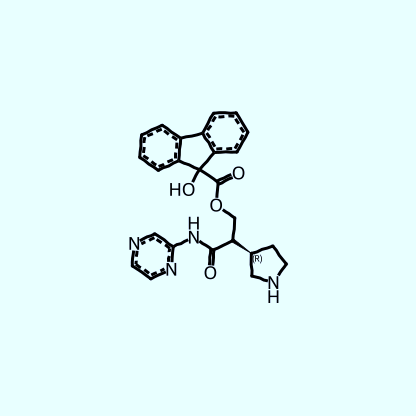 O=C(Nc1cnccn1)C(COC(=O)C1(O)c2ccccc2-c2ccccc21)[C@H]1CCNC1